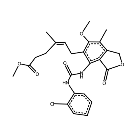 COC(=O)CCC(C)=CCc1c(NC(=O)Nc2ccccc2Cl)c2c(c(C)c1OC)COC2=O